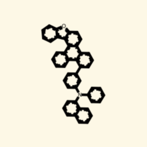 c1ccc(N(c2cccc(-c3cccc4c5ccc6oc7ccccc7c6c5c5ccccc5c34)c2)c2cccc3ccccc23)cc1